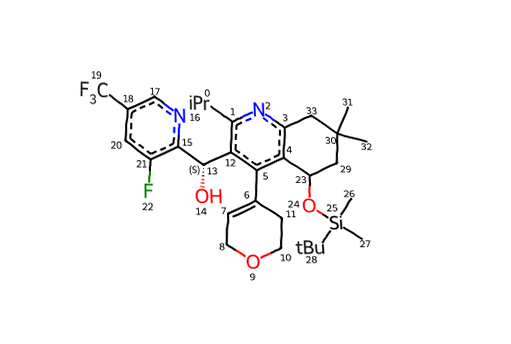 CC(C)c1nc2c(c(C3=CCOCC3)c1[C@H](O)c1ncc(C(F)(F)F)cc1F)C(O[Si](C)(C)C(C)(C)C)CC(C)(C)C2